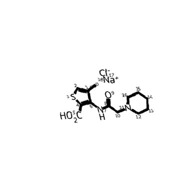 Cc1csc(C(=O)O)c1NC(=O)CN1CCCCC1.[Cl-].[Na+]